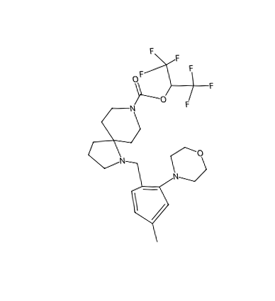 Cc1ccc(CN2CCCC23CCN(C(=O)OC(C(F)(F)F)C(F)(F)F)CC3)c(N2CCOCC2)c1